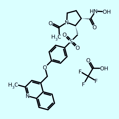 CC(=O)N1CC[C@H](C(=O)NO)[C@@H]1CS(=O)(=O)c1ccc(OCc2cc(C)nc3ccccc23)cc1.O=C(O)C(F)(F)F